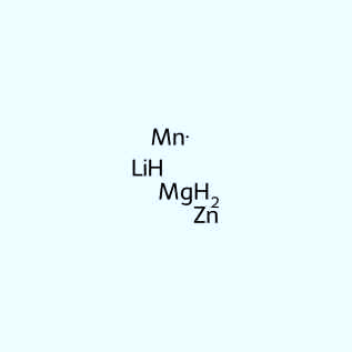 [LiH].[MgH2].[Mn].[Zn]